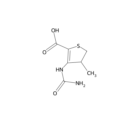 CC1CSC(C(=O)O)=C1NC(N)=O